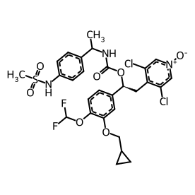 CC(NC(=O)O[C@@H](Cc1c(Cl)c[n+]([O-])cc1Cl)c1ccc(OC(F)F)c(OCC2CC2)c1)c1ccc(NS(C)(=O)=O)cc1